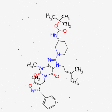 CC(C)=CCn1c(N2CCCC(NC(=O)OC(C)(C)C)C2)nc2c1c(=O)n(Cc1c(-c3ccccc3)noc1C)c(=O)n2C